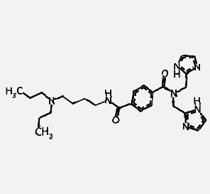 CCCN(CCC)CCCCNC(=O)c1ccc(C(=O)N(Cc2ncc[nH]2)Cc2ncc[nH]2)cc1